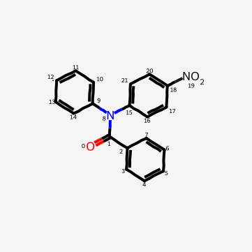 O=C(c1ccccc1)N(c1cc[c]cc1)c1ccc([N+](=O)[O-])cc1